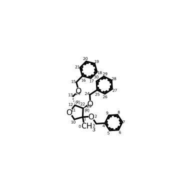 CC1(OCc2ccccc2)CO[C@H](COCc2ccccc2)[C@H]1OCc1ccccc1